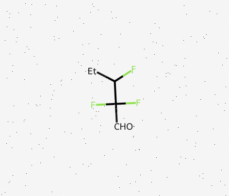 CCC(F)C(F)(F)[C]=O